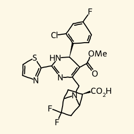 COC(=O)C1=C(CN2C3CC(F)(F)C2C[C@H]3C(=O)O)N=C(c2nccs2)N[C@H]1c1ccc(F)cc1Cl